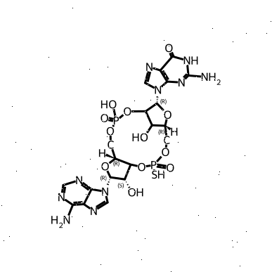 Nc1nc2c(ncn2[C@@H]2O[C@@H]3COP(=O)(S)OC4[C@@H](COP(=O)(O)OC2C3O)O[C@@H](n2cnc3c(N)ncnc32)[C@H]4O)c(=O)[nH]1